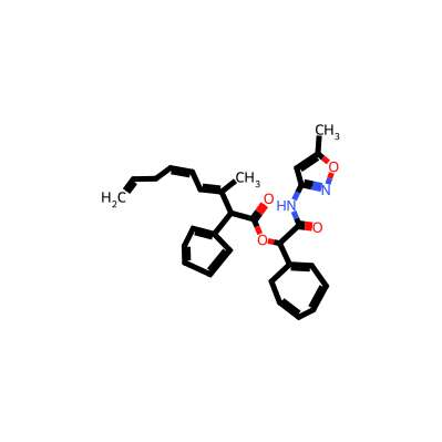 C=CC/C=C\C=C(/C)C(C(=O)OC(C(=O)Nc1cc(C)on1)C1=CC=CC=CC1)c1ccccc1